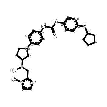 CN(Cc1nccn1C)C1CCN(c2ccc(NC(=O)Nc3ccc(OC4CCCC4)nc3)cc2)C1